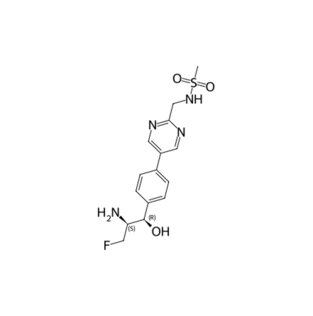 CS(=O)(=O)NCc1ncc(-c2ccc([C@@H](O)[C@H](N)CF)cc2)cn1